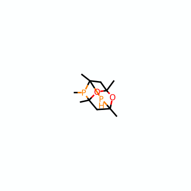 CP1C2(C)CC3(C)OC(C)(CC1(C)P3)O2